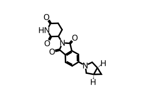 O=C1CCC(N2C(=O)c3ccc(N4C[C@H]5C[C@H]5C4)cc3C2=O)C(=O)N1